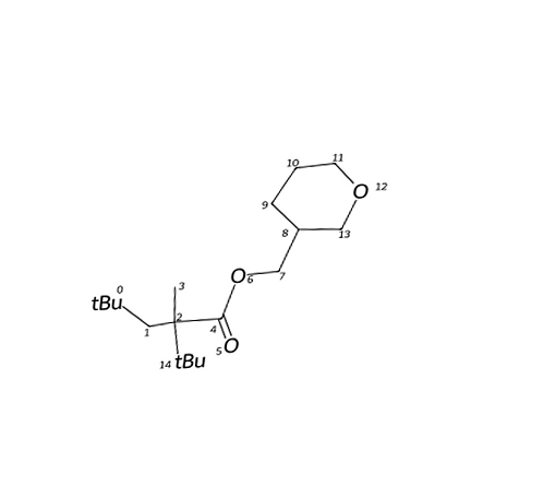 CC(C)(C)CC(C)(C(=O)OCC1CCCOC1)C(C)(C)C